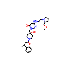 COCC1CCCN1CCNc1cc(=O)n(CC2(O)CCN(C(=O)CC(C)c3ccccc3)CC2)cn1